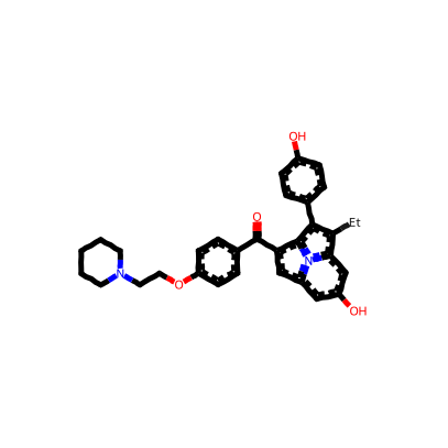 CCc1c(-c2ccc(O)cc2)c2c(C(=O)c3ccc(OCCN4CCCCC4)cc3)cc3cc(O)cc1n32